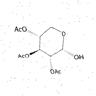 CC(=O)O[C@@H]1[C@@H](OC(C)=O)[C@H](OC(C)=O)CO[C@@H]1O